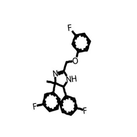 CC1(c2cccc(F)c2)N=C(COc2cccc(F)c2)NC1c1cccc(F)c1